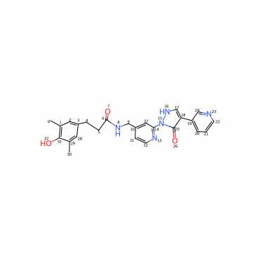 Cc1cc(CCC(=O)NCc2ccnc(-n3[nH]cc(-c4cccnc4)c3=O)c2)cc(C)c1O